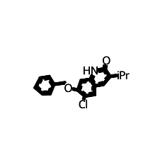 CC(C)c1cc2cc(Cl)c(OCc3ccccc3)cc2[nH]c1=O